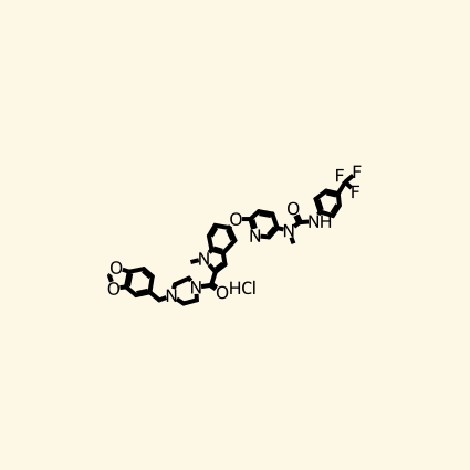 CN(C(=O)Nc1ccc(C(F)(F)F)cc1)c1ccc(Oc2ccc3c(c2)cc(C(=O)N2CCN(Cc4ccc5c(c4)OCO5)CC2)n3C)nc1.Cl